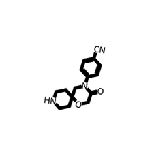 N#Cc1ccc(N2CC3(CCNCC3)OCC2=O)cc1